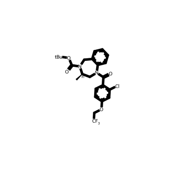 C[C@@H]1CN(C(=O)c2ccc(OCC(F)(F)F)cc2Cl)c2ccccc2CN1C(=O)OC(C)(C)C